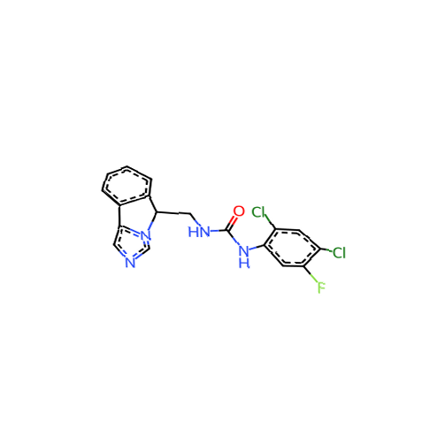 O=C(NCC1c2ccccc2-c2cncn21)Nc1cc(F)c(Cl)cc1Cl